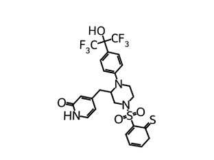 O=c1cc(CC2CN(S(=O)(=O)C3=CC=CCC3=S)CCN2c2ccc(C(O)(C(F)(F)F)C(F)(F)F)cc2)cc[nH]1